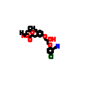 CC(C)OC(Cc1cccc(OCC(O)COc2ccc(Cl)cc2C#N)c1)C(=O)O